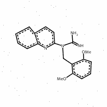 COc1cccc(OC)c1CN(C(=N)N)c1ccc2ccccc2n1